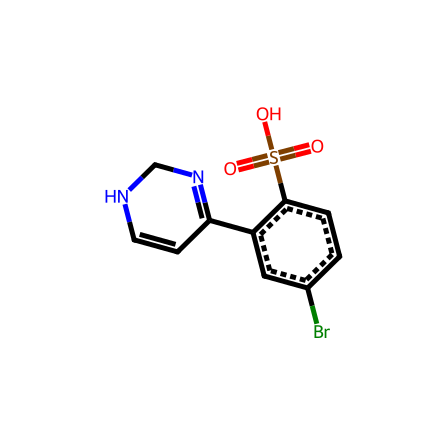 O=S(=O)(O)c1ccc(Br)cc1C1=NCNC=C1